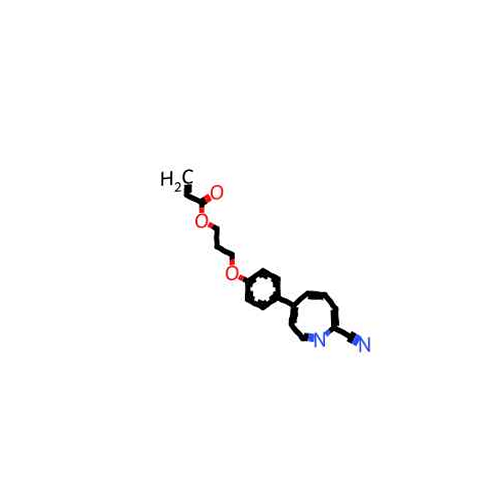 C=CC(=O)OCCCOc1ccc(C2=C/C=N\C(C#N)=C/C=C\2)cc1